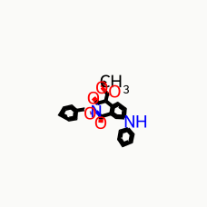 COC(=O)C1C(=O)N(OCc2ccccc2)C(=O)c2cc(Nc3ccccc3)ccc21